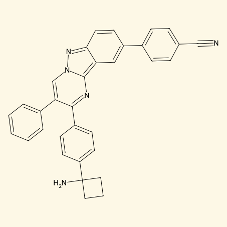 N#Cc1ccc(-c2ccc3nn4cc(-c5ccccc5)c(-c5ccc(C6(N)CCC6)cc5)nc4c3c2)cc1